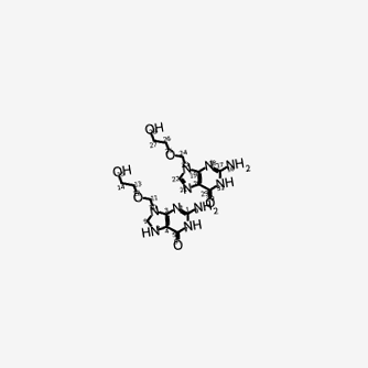 Nc1nc2c(c(=O)[nH]1)NCN2COCCO.Nc1nc2c(ncn2COCCO)c(=O)[nH]1